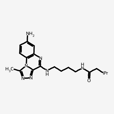 Cc1nnc2c(NCCCCNC(=O)CC(C)C)nc3cc(N)ccc3n12